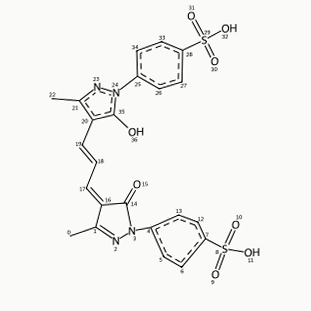 CC1=NN(c2ccc(S(=O)(=O)O)cc2)C(=O)C1=CC=Cc1c(C)nn(-c2ccc(S(=O)(=O)O)cc2)c1O